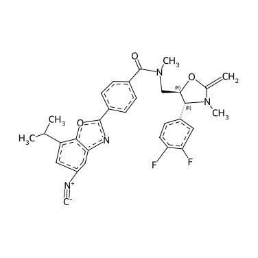 [C-]#[N+]c1cc(C(C)C)c2oc(-c3ccc(C(=O)N(C)C[C@H]4OC(=C)N(C)[C@@H]4c4ccc(F)c(F)c4)cc3)nc2c1